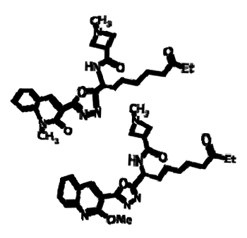 CCC(=O)CCCCC[C@H](NC(=O)C1CN(C)C1)c1nnc(-c2cc3ccccc3n(C)c2=O)o1.CCC(=O)CCCCC[C@H](NC(=O)C1CN(C)C1)c1nnc(-c2cc3ccccc3nc2OC)o1